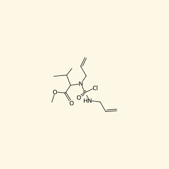 C=CCNP(=O)(Cl)N(CC=C)C(C(=O)OC)C(C)C